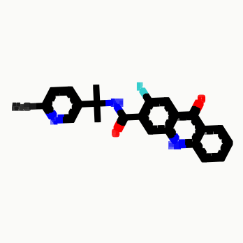 COc1ccc(C(C)(C)NC(=O)c2cc3[nH]c4ccccc4c(=O)c3cc2F)cn1